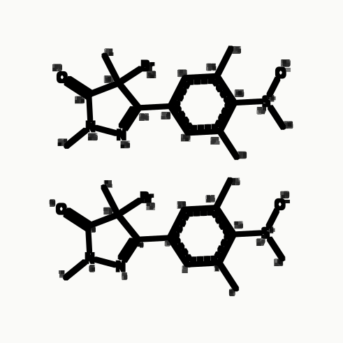 Cc1cc(C2=NN(C)C(=O)C2(C)Br)cc(C)c1[S+](C)[O-].Cc1cc(C2=NN(C)C(=O)C2(C)Br)cc(C)c1[S+](C)[O-]